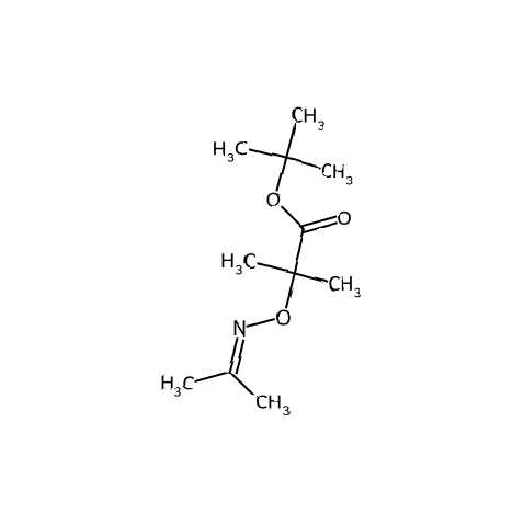 CC(C)=NOC(C)(C)C(=O)OC(C)(C)C